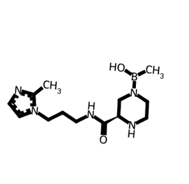 CB(O)N1CCN[C@@H](C(=O)NCCCn2ccnc2C)C1